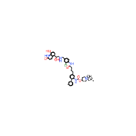 C[N+]1(C)CCC(OC(=O)Nc2cc(CCCC(=O)Nc3ccc(CNC[C@@H](O)c4ccc(O)c5[nH]c(=O)ccc45)cc3Cl)ccc2-c2ccccc2)CC1